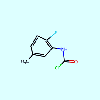 Cc1ccc(F)c(NC(=O)Cl)c1